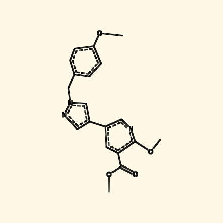 COC(=O)c1cc(-c2cnn(Cc3ccc(OC)cc3)c2)cnc1OC